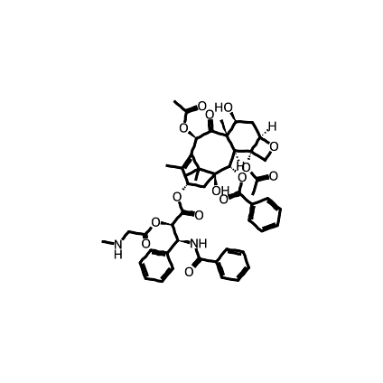 CNCC(=O)O[C@@H](C(=O)O[C@H]1C[C@@]2(O)[C@@H](OC(=O)c3ccccc3)[C@@H]3[C@]4(OC(C)=O)CO[C@@H]4C[C@H](O)[C@@]3(C)C(=O)[C@H](OC(C)=O)C(=C1C)C2(C)C)[C@@H](NC(=O)c1ccccc1)c1ccccc1